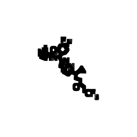 Cn1nccc1C(=O)N[C@H](c1cn2ccc(C(CCC(=O)CCC(F)(F)F)C3CC3)nc2n1)C1CCC(F)(F)CC1